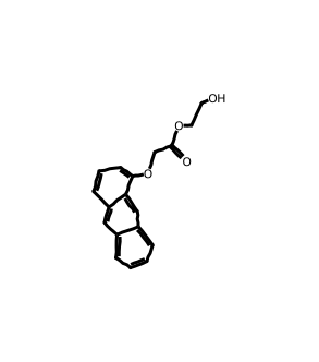 O=C(COc1cccc2cc3ccccc3cc12)OCCO